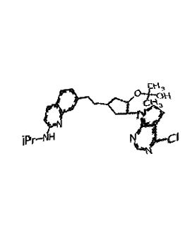 CC(C)Nc1ccc2ccc(CCC3CC(OC(C)(C)O)C(n4ccc5c(Cl)ncnc54)C3)cc2n1